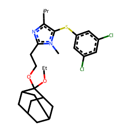 CCOC1(OCCc2nc(C(C)C)c(Sc3cc(Cl)cc(Cl)c3)n2C)C2CC3CC(C2)CC1C3